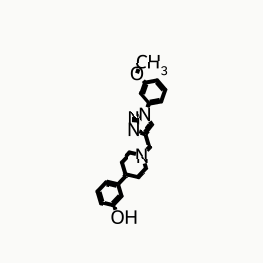 COc1cccc(-n2cc(CN3CCC(c4cccc(O)c4)CC3)nn2)c1